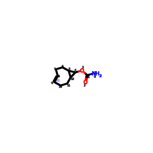 NC(=O)OC1C2CC/C=C/CCC21